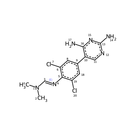 CN(C)/C=N/c1c(Cl)cc(-c2cnc(N)nc2N)cc1Cl